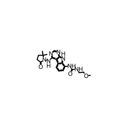 COCCNC(=O)Nc1cccc2c1[nH]c1ncnc(NN3C(=O)CCC3(C)C)c12